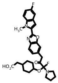 Cn1c(-c2nc3ccc(CC(=O)C(F)(OC4CCC(CC(=O)O)CC4)N4CCCC4)cc3o2)cc2cc(F)ccc21